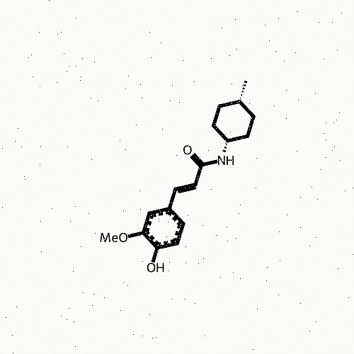 COc1cc(C=CC(=O)N[C@H]2CC[C@@H](C)CC2)ccc1O